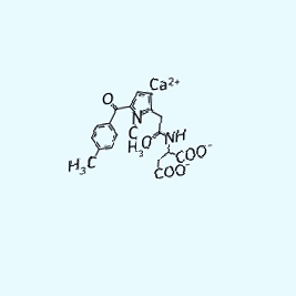 Cc1ccc(C(=O)c2ccc(CC(=O)NC(CC(=O)[O-])C(=O)[O-])n2C)cc1.[Ca+2]